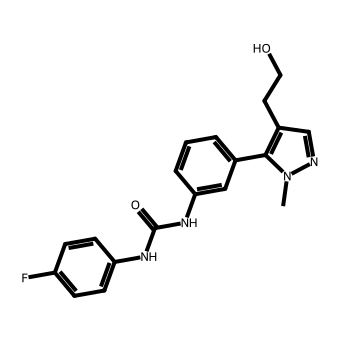 Cn1ncc(CCO)c1-c1cccc(NC(=O)Nc2ccc(F)cc2)c1